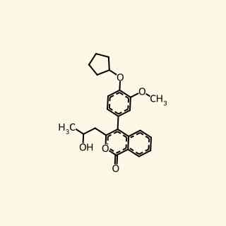 COc1cc(-c2c(CC(C)O)oc(=O)c3ccccc23)ccc1OC1CCCC1